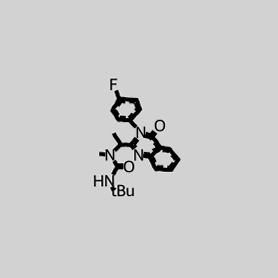 CC(c1nc2ccccc2c(=O)n1-c1ccc(F)cc1)N(C)C(=O)NC(C)(C)C